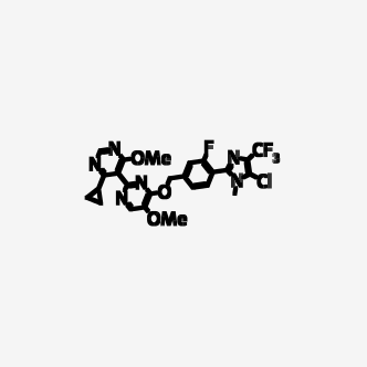 COc1cnc(-c2c(OC)ncnc2C2CC2)nc1OCc1ccc(-c2nc(C(F)(F)F)c(Cl)n2C)c(F)c1